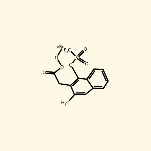 CCCCOOC(=O)Cc1c(C)cc2ccccc2c1OS(=O)(=O)C(F)(F)F